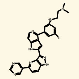 CN(C)CCNc1cc(F)cc(-c2nccc3[nH]c(-c4n[nH]c5ccc(-c6cncnc6)nc45)cc23)c1